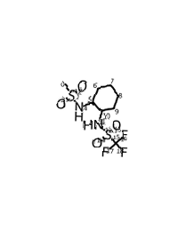 CS(=O)(=O)NC1CCCCC1NS(=O)(=O)C(F)(F)F